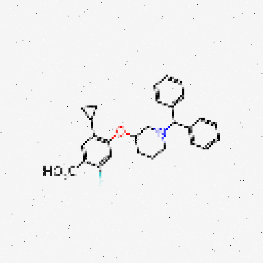 O=C(O)c1cc(C2CC2)c(O[C@@H]2CCCN(C(c3ccccc3)c3ccccc3)C2)cc1F